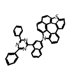 c1ccc(-c2nc(-c3ccccc3)nc(-c3cc(-n4c5cccc6c5c5c7c(ccc8sc9cccc-6c9c87)ccc54)cc4ccccc34)n2)cc1